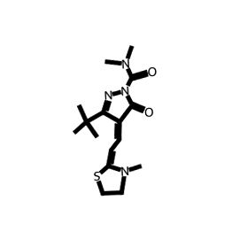 CN(C)C(=O)N1N=C(C(C)(C)C)/C(=C\C=C2\SCCN2C)C1=O